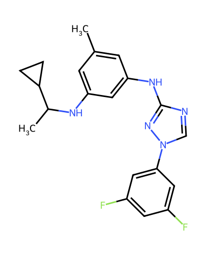 Cc1cc(Nc2ncn(-c3cc(F)cc(F)c3)n2)cc(NC(C)C2CC2)c1